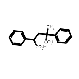 CC(CC(C(=O)O)c1ccccc1)(C(=O)O)c1ccccc1